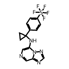 FS(F)(F)(F)(F)c1ccc(C2(Nc3cncc4ncnn34)CC2)cc1